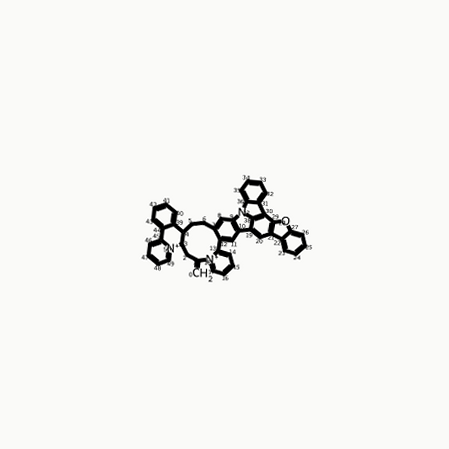 C=C1CC2C(CCc3cc4c(cc3-c3cccc[n+]31)c1cc3c5ccccc5oc3c3c5ccccc5n4c13)c1ccccc1-c1cccc[n+]12